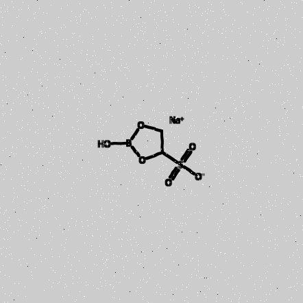 O=S(=O)([O-])C1COB(O)O1.[Na+]